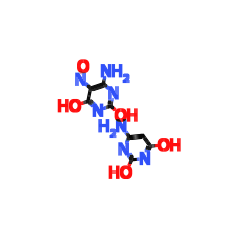 Nc1cc(O)nc(O)n1.Nc1nc(O)nc(O)c1N=O